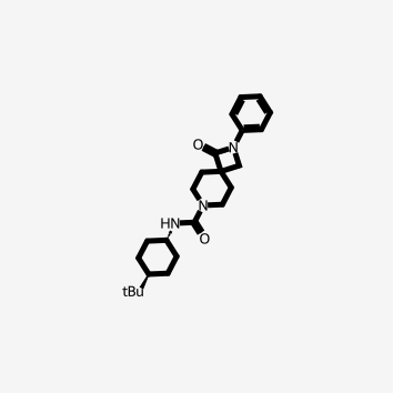 CC(C)(C)[C@H]1CC[C@H](NC(=O)N2CCC3(CC2)CN(c2ccccc2)C3=O)CC1